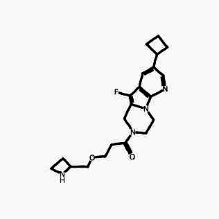 O=C(CCOCC1CCN1)N1CCn2c(c(F)c3cc(C4CCC4)cnc32)C1